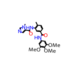 COc1cc(NC(=O)c2ccc(C)c(NC(=O)c3cncn3C)c2)cc(OC)c1OC